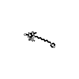 Cc1nc2nc(Cl)nc(S(=O)(=O)C(C)C)c2n1CCCCCCCCCCN1CCOCC1